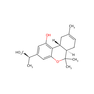 CC1=CC[C@@H]2[C@@H](C1)c1c(O)cc([C@@H](C)C(=O)O)cc1OC2(C)C